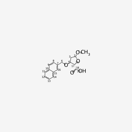 COC1C[C@H](OCc2ccc3ccccc3c2)[C@@H](C(=O)O)O1